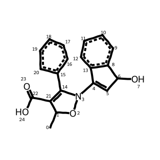 CC1ON(C2=CC(O)c3ccccc32)C(c2ccccc2)=C1C(=O)O